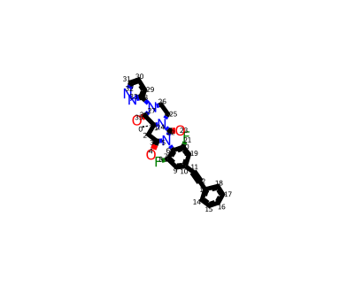 C[C@@]12CC(=O)N(c3c(F)cc(C#Cc4ccccc4)cc3F)C(=O)N1CCN(c1cccnn1)C2=O